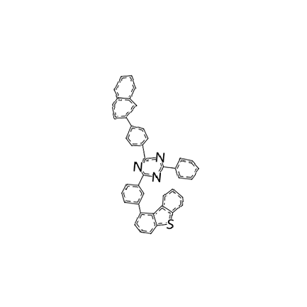 c1ccc(-c2nc(-c3ccc(-c4ccc5ccccc5c4)cc3)nc(-c3cccc(-c4cccc5sc6ccccc6c45)c3)n2)cc1